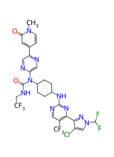 Cn1ccc(-c2cnc(N(C(=O)NCC(F)(F)F)C3CCC(Nc4ncc(C(F)(F)F)c(-c5nn(C(F)F)cc5Cl)n4)CC3)cn2)cc1=O